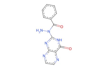 NN(C(=O)c1ccccc1)c1nc2nccnc2c(=O)[nH]1